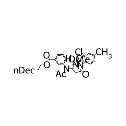 CCCCCCCCCCCCOC(=O)c1ccc(OC)c(N(C(C)=O)C2=NN(C3C=CC(C)=CC3(C)Cl)C(=O)C2)c1